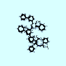 C=N/C(=N\C(=N/Cc1cccc(-c2ccccc2)c1)c1cc(-c2ccc3c(c2)c2c(n3-c3ccccc3)/C=C\C(=C)c3ccccc3OC2C)cc2c3c(sc12)=CCC=CC=3)C1=CC=CC=CC1